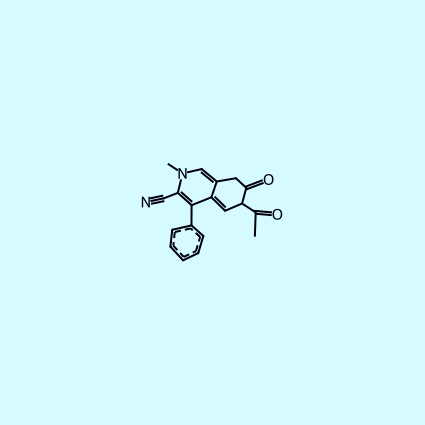 CC(=O)C1C=C2C(=CN(C)C(C#N)=C2c2ccccc2)CC1=O